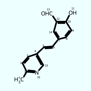 Cc1ccc(C=Cc2ccc(O)c(C=O)c2)cn1